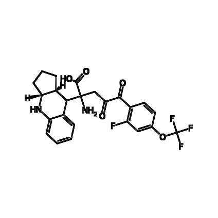 NC(CC(=O)C(=O)c1ccc(OC(F)(F)F)cc1F)(C(=O)O)C1c2ccccc2N[C@@H]2CCC[C@H]12